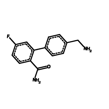 NCc1ccc(-c2cc(F)ccc2C(N)=O)cc1